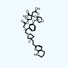 O=C(O)CC(O)(CC(=O)OC(=O)C[C@H](CN1CC[C@@](F)(CCc2ccc3c(n2)NCCC3)C1)c1cccc(O[C@H]2CCOC2)c1)C(=O)O